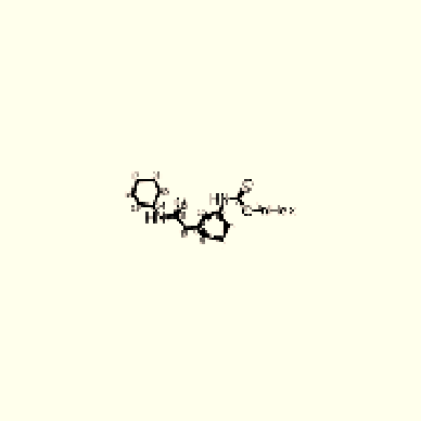 CCCCCCOC(=O)Nc1cccc(CC(=O)NC2CCCCC2)c1